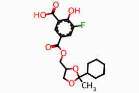 CC1(C2CCCCC2)OCC(COC(=O)c2cc(F)c(O)c(C(=O)O)c2)O1